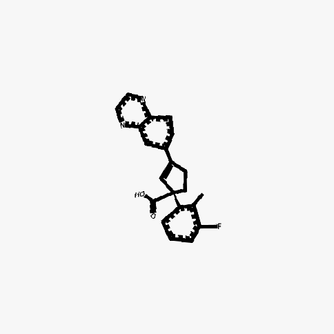 Cc1c(F)cccc1[C@@]1(C(=O)O)C=C(c2ccc3nccnc3c2)CC1